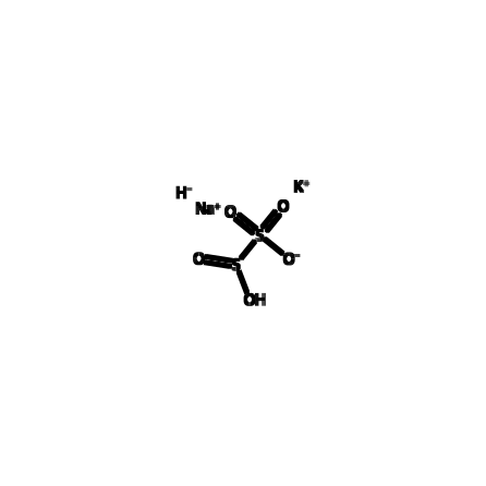 O=S(O)S(=O)(=O)[O-].[H-].[K+].[Na+]